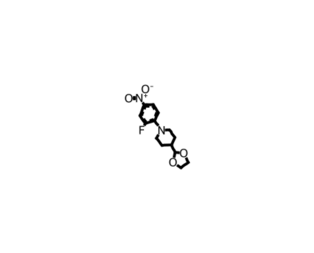 O=[N+]([O-])c1ccc(N2CCC(C3OCCO3)CC2)c(F)c1